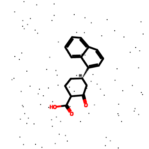 O=C(O)C1CC[C@H](c2cccc3ccccc23)CC1=O